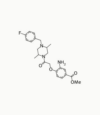 COC(=O)c1ccc(OCC(=O)N2CC(C)N(Cc3ccc(F)cc3)CC2C)c(N)c1